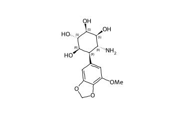 COc1cc([C@@H]2[C@@H](N)[C@H](O)[C@H](O)[C@@H](O)[C@@H]2O)cc2c1OCO2